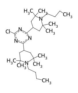 CCCCN1C(C)(C)CC(c2nc(Cl)nc(C3CC(C)(C)N(CCCC)C(C)(C)C3)n2)CC1(C)C